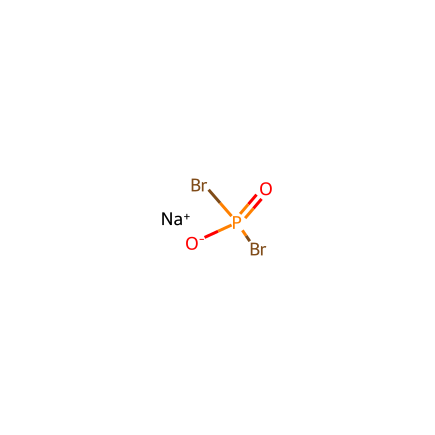 O=P([O-])(Br)Br.[Na+]